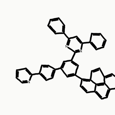 c1ccc(-c2cc(-c3ccccc3)nc(-c3cc(-c4ccc(-c5ccccn5)cc4)cc(-c4ccc5ccc6cccc7ccc4c5c67)c3)n2)cc1